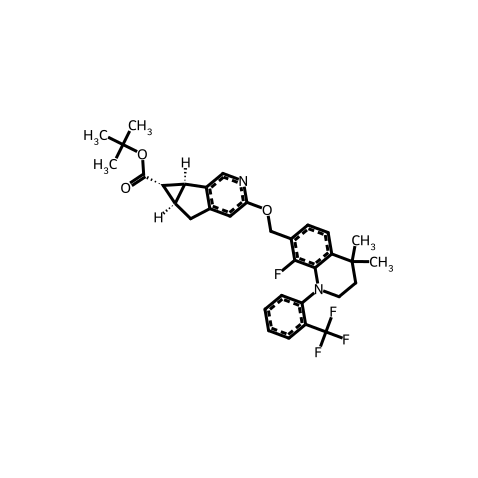 CC(C)(C)OC(=O)[C@H]1[C@@H]2Cc3cc(OCc4ccc5c(c4F)N(c4ccccc4C(F)(F)F)CCC5(C)C)ncc3[C@@H]21